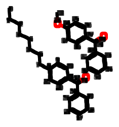 CCCCCCCCc1ccc(C(=O)c2ccccc2)cc1.COc1ccc(C(=O)c2ccccc2)cc1